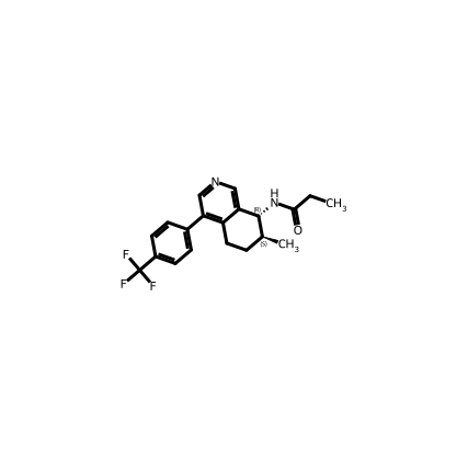 CCC(=O)N[C@H]1c2cncc(-c3ccc(C(F)(F)F)cc3)c2CC[C@@H]1C